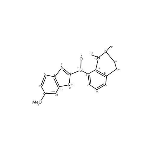 COc1ccc2nc([S+]([O-])c3cccc4c3N(C)C(C)CC4)[nH]c2c1